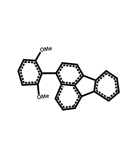 COc1cccc(OC)c1-c1ccc2c3c(cccc13)-c1ccccc1-2